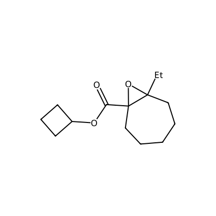 CCC12CCCCCC1(C(=O)OC1CCC1)O2